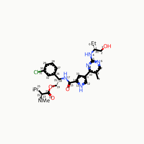 CC[C@H](CO)Nc1ncc(C)c(-c2c[nH]c(C(=O)N[C@H](COC(=O)[C@@H](NC)C(C)C)c3cccc(Cl)c3)c2)n1